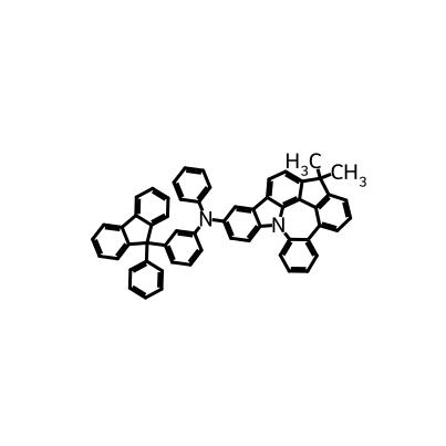 CC1(C)c2cccc3c2-c2c1ccc1c4cc(N(c5ccccc5)c5cccc(C6(c7ccccc7)c7ccccc7-c7ccccc76)c5)ccc4n(c21)-c1ccccc1-3